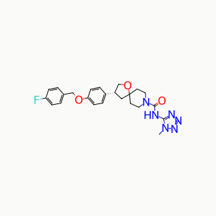 Cn1nnnc1NC(=O)N1CCC2(CC1)C[C@H](c1ccc(OCc3ccc(F)cc3)cc1)CO2